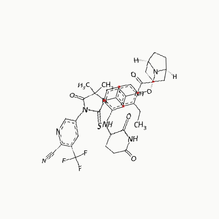 CCc1cc(N2C(=S)N(c3cnc(C#N)c(C(F)(F)F)c3)C(=O)C2(C)C)ccc1O[C@@H]1C[C@H]2CC[C@@H](C1)N2CC(=O)Nc1cccc(NC2CCC(=O)NC2=O)c1